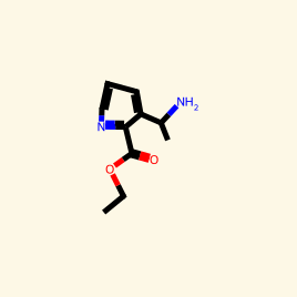 CCOC(=O)c1ncccc1C(C)N